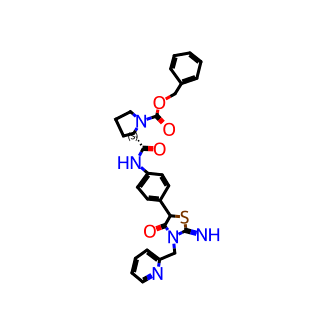 N=C1SC(c2ccc(NC(=O)[C@@H]3CCCN3C(=O)OCc3ccccc3)cc2)C(=O)N1Cc1ccccn1